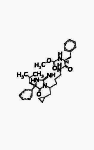 COC(=O)N[C@@H](Cc1ccccc1)C(=O)NCCCC(CC1CC1)N1C(=N)N[C@@](CC(C)C)(c2ccccc2)C1=O